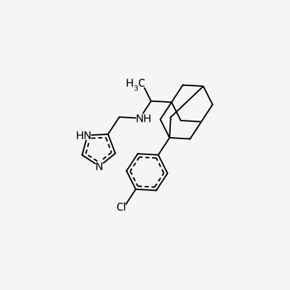 CC(NCc1cnc[nH]1)C12CC3CC(CC(c4ccc(Cl)cc4)(C3)C1)C2